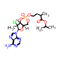 CC(C)OC(=O)C(C)CCO[P@@]1(=O)OC[C@H]2O[C@@H](n3cnc4c(N)ncnc43)[C@](C)(Cl)[C@@H]2O1